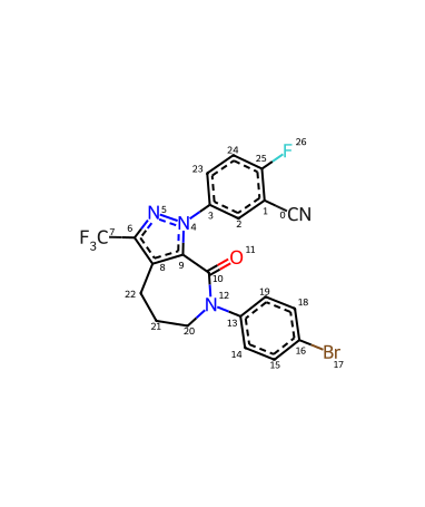 N#Cc1cc(-n2nc(C(F)(F)F)c3c2C(=O)N(c2ccc(Br)cc2)CCC3)ccc1F